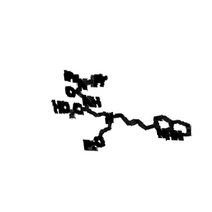 CCOCCN(CCCCc1ccc2c(n1)NCCC2)CC[C@H](NC(=O)N(C(C)C)C(C)C)C(=O)O